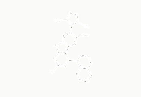 COc1cc2c(cc1-c1c(C)noc1C)[nH]c1nc(C)nc(-c3cccc4cnccc34)c12